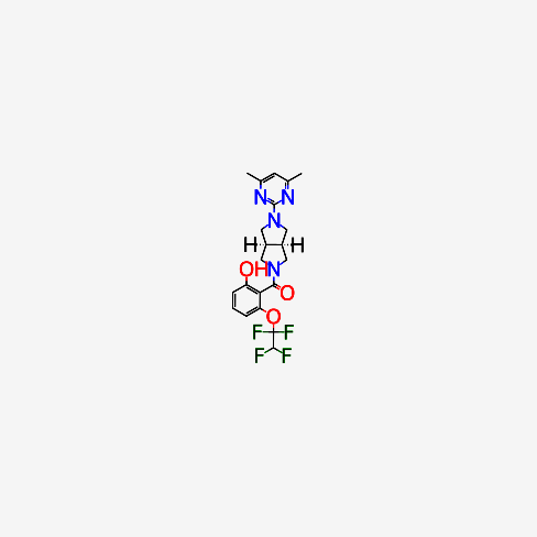 Cc1cc(C)nc(N2C[C@H]3CN(C(=O)c4c(O)cccc4OC(F)(F)C(F)F)C[C@H]3C2)n1